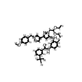 CCOC(Cn1nc(-c2cnn(Cc3ccc(OC)cc3)c2)cc1Nc1cc(NC(=O)c2cccc(C(C)(C)C)c2)ccc1C)OCC